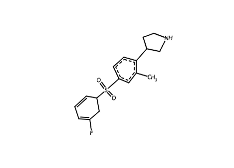 Cc1cc(S(=O)(=O)C2C=CC=C(F)C2)ccc1C1CCNC1